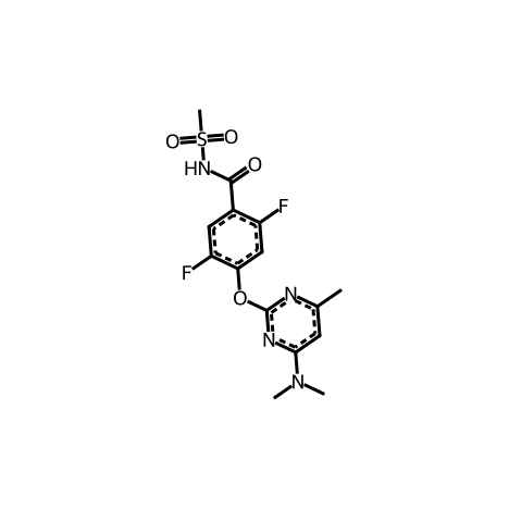 Cc1cc(N(C)C)nc(Oc2cc(F)c(C(=O)NS(C)(=O)=O)cc2F)n1